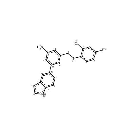 Nc1cc(CSc2ccc(F)cc2Cl)nc(-c2ccc3[nH]ccc3c2)n1